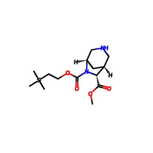 COC(=O)[C@H]1[C@@H]2CNC[C@@H](C2)N1C(=O)OCC[Si](C)(C)C